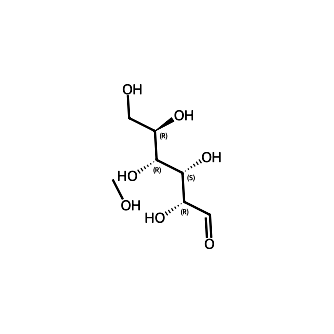 CO.O=C[C@H](O)[C@@H](O)[C@H](O)[C@H](O)CO